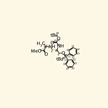 COC(=O)[C@@H](C)NC[C@@H](CO[Si](c1ccccc1)(c1ccccc1)C(C)(C)C)NC(=O)OC(C)(C)C